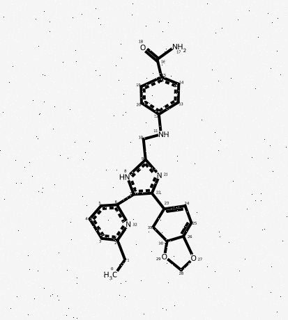 CCc1cccc(-c2[nH]c(CNc3ccc(C(N)=O)cc3)nc2C2=CC=C3OCOC3C2)n1